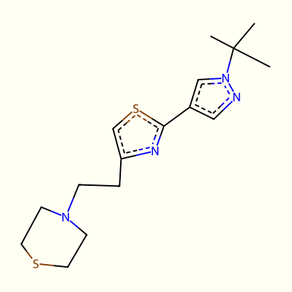 CC(C)(C)n1cc(-c2nc(CCN3CCSCC3)cs2)cn1